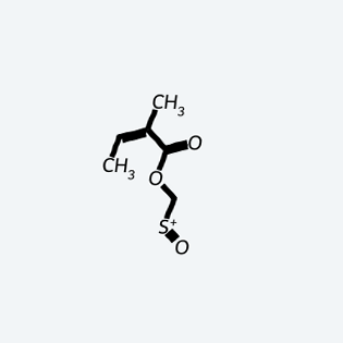 CC=C(C)C(=O)OC[S+]=O